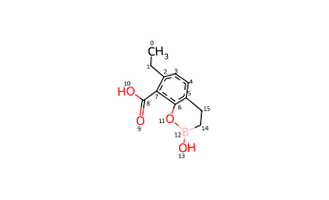 CCc1ccc2c(c1C(=O)O)OB(O)CC2